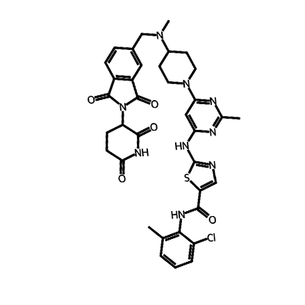 Cc1nc(Nc2ncc(C(=O)Nc3c(C)cccc3Cl)s2)cc(N2CCC(N(C)Cc3ccc4c(c3)C(=O)N(C3CCC(=O)NC3=O)C4=O)CC2)n1